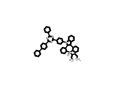 C/C=C\C(=C/C)P1(=O)c2ccccc2-c2c(n(-c3ccc(-c4nc(-c5ccccc5)nc(-c5ccc(-c6ccccc6)cc5)n4)cc3)c3ccccc23)-c2ccccc21